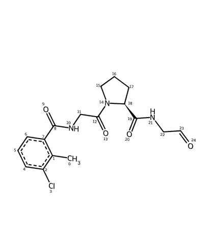 Cc1c(Cl)cccc1C(=O)NCC(=O)N1CCC[C@H]1C(=O)NCC=O